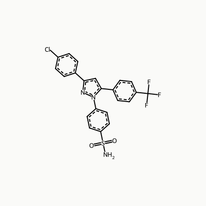 NS(=O)(=O)c1ccc(-n2nc(-c3ccc(Cl)cc3)cc2-c2ccc(C(F)(F)F)cc2)cc1